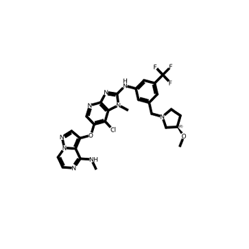 CNc1nccn2ncc(Oc3cnc4nc(Nc5cc(CN6CC[C@@H](OC)C6)cc(C(F)(F)F)c5)n(C)c4c3Cl)c12